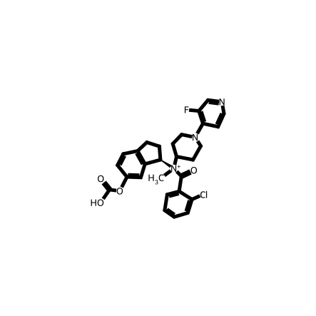 C[N+](C(=O)c1ccccc1Cl)(C1CCN(c2ccncc2F)CC1)[C@@H]1CCc2ccc(OC(=O)O)cc21